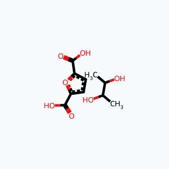 CC(O)C(C)O.O=C(O)c1ccc(C(=O)O)o1